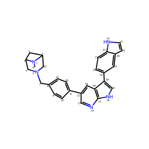 CN1C2CC1CN(Cc1ccc(-c3cnc4[nH]cc(-c5ccc6[nH]ccc6c5)c4c3)cc1)C2